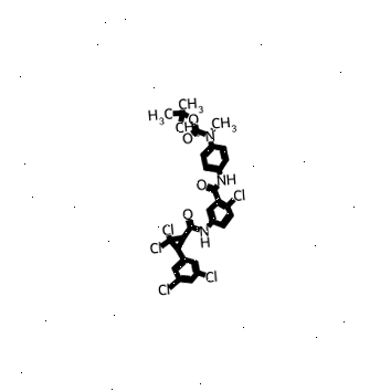 CN(C(=O)OC(C)(C)C)c1ccc(NC(=O)c2cc(NC(=O)C3C(c4cc(Cl)cc(Cl)c4)C3(Cl)Cl)ccc2Cl)cc1